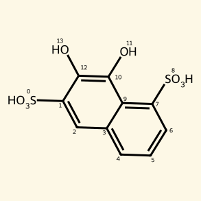 O=S(=O)(O)c1cc2cccc(S(=O)(=O)O)c2c(O)c1O